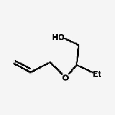 C=CCOC(CC)CO